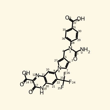 NC(=O)N(Cc1ccn(-c2cc3nc(C(=O)O)c(=O)[nH]c3cc2C(F)(F)F)c1)c1ccc(C(=O)O)cc1